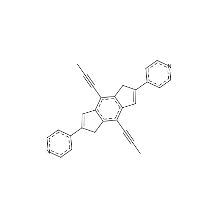 CC#Cc1c2c(c(C#CC)c3c1CC(c1ccncc1)=C3)CC(c1ccncc1)=C2